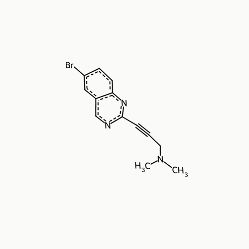 CN(C)CC#Cc1ncc2cc(Br)ccc2n1